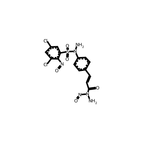 NN(N=O)C(=O)/C=C/c1ccc(N(N)S(=O)(=O)c2cc(Cl)cc(Cl)c2N=O)cc1